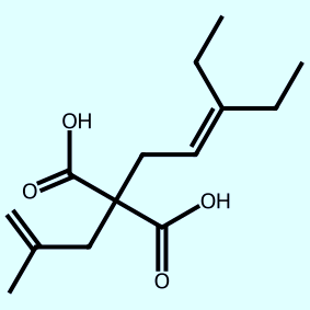 C=C(C)CC(CC=C(CC)CC)(C(=O)O)C(=O)O